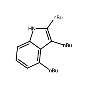 CCCCc1[nH]c2cc[c]c(CCCC)c2c1CCCC